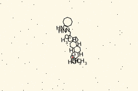 COC[C@]12CC[C@@](C)(O)C[C@@H]1CC[C@H]1[C@@H]3CC[C@H](C(=O)CN4NNC5=C4CCCCCC5)[C@@]3(C)CC[C@@H]12